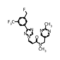 Cc1ncc(CN(C)C(=O)/C=C\n2cnc(-c3cc(CF)cc(C(F)(F)F)c3)n2)cn1